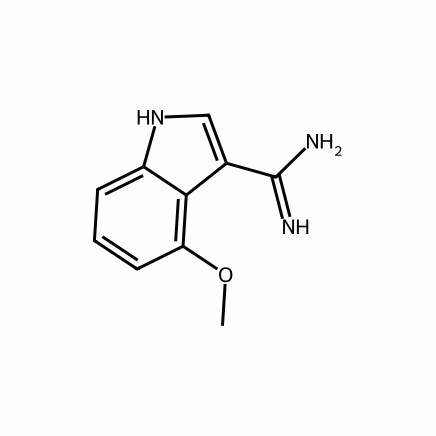 COc1cccc2[nH]cc(C(=N)N)c12